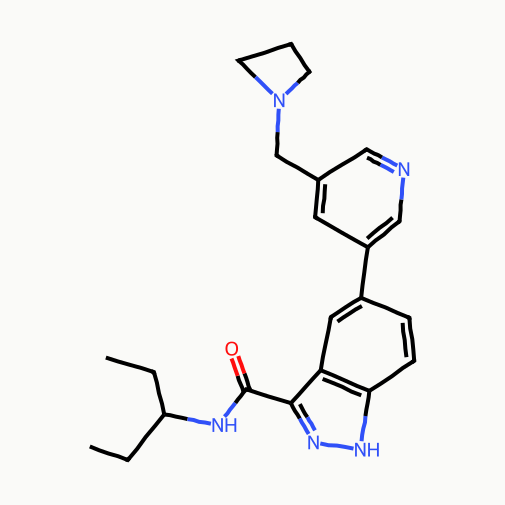 CCC(CC)NC(=O)c1n[nH]c2ccc(-c3cncc(CN4CCC4)c3)cc12